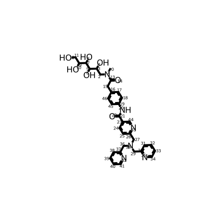 CN(CC(O)C(O)C(O)C(O)CO)C(=O)Cc1ccc(NC(=O)c2ccc(CN(Cc3ccccn3)Cc3ccccn3)nc2)cc1